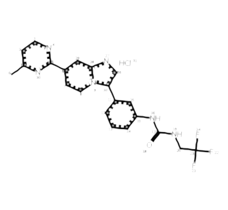 Cc1ccnc(-c2ccn3c(-c4cccc(NC(=O)NCC(F)(F)F)c4)cnc3c2)n1.Cl